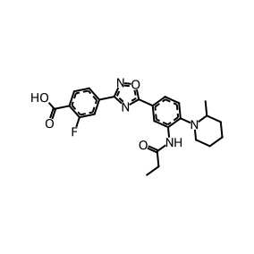 CCC(=O)Nc1cc(-c2nc(-c3ccc(C(=O)O)c(F)c3)no2)ccc1N1CCCCC1C